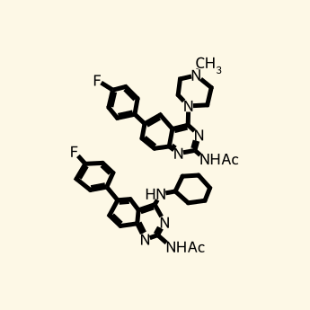 CC(=O)Nc1nc(N2CCN(C)CC2)c2cc(-c3ccc(F)cc3)ccc2n1.CC(=O)Nc1nc(NC2CCCCC2)c2cc(-c3ccc(F)cc3)ccc2n1